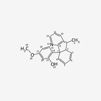 CCC1C=CC=CC1(c1ccccn1)c1ccc(OC)cc1O